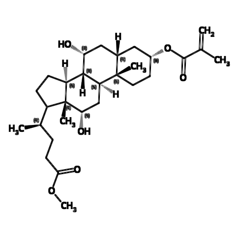 C=C(C)C(=O)O[C@@H]1CC[C@@]2(C)[C@@H](C1)C[C@@H](O)[C@@H]1[C@@H]2C[C@H](O)[C@]2(C)C([C@H](C)CCC(=O)OC)CC[C@@H]12